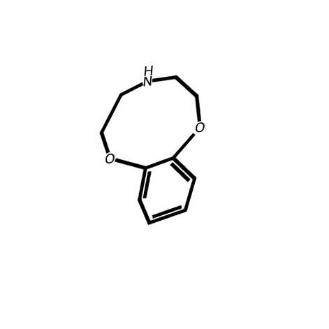 c1ccc2c(c1)OCCNCCO2